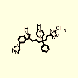 Cc1nc(CCC(CCCc2c[nH]c3ccc(-n4cnnc4)cc23)(c2ccccc2)N2CCNCC2)no1